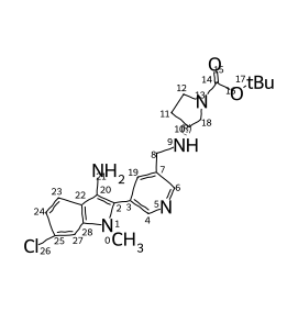 Cn1c(-c2cncc(CN[C@@H]3CCN(C(=O)OC(C)(C)C)C3)c2)c(N)c2ccc(Cl)cc21